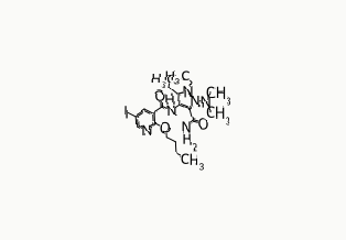 CCCCOc1ncc(I)cc1C(=O)NC1=C(C(N)=O)N(N(C)C)N(CC)C1CC